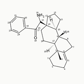 C[C@]12CCCC=C1CC[C@H]1[C@@H]3CCC[C@@]3(C(N)C(=O)c3ccccc3)CC[C@@H]12